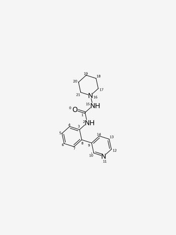 O=C(Nc1ccccc1-c1[c]nccc1)NN1CCCCC1